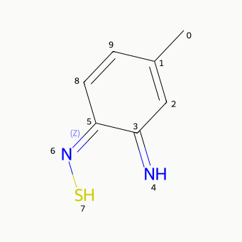 CC1=CC(=N)/C(=N\S)C=C1